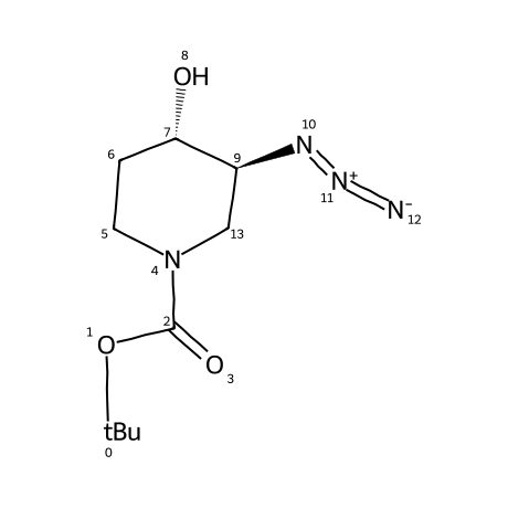 CC(C)(C)OC(=O)N1CC[C@H](O)[C@@H](N=[N+]=[N-])C1